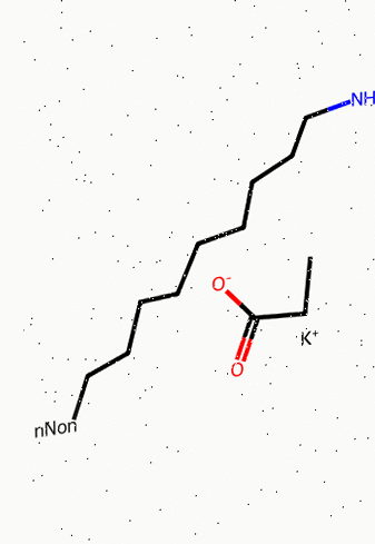 CCC(=O)[O-].CCCCCCCCCCCCCCCCCCN.[K+]